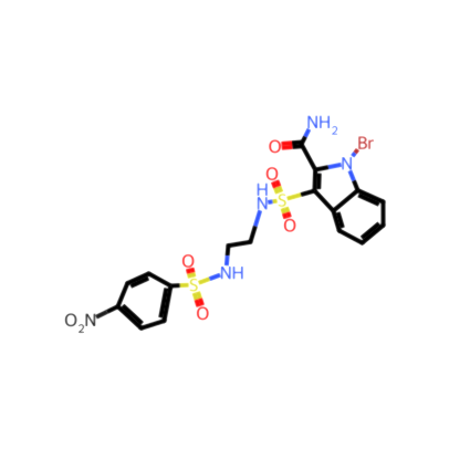 NC(=O)c1c(S(=O)(=O)NCCNS(=O)(=O)c2ccc([N+](=O)[O-])cc2)c2ccccc2n1Br